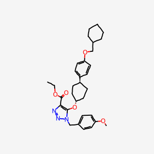 CCOC(=O)c1nnn(Cc2ccc(OC)cc2)c1O[C@H]1CC[C@H](c2ccc(OCC3CCCCC3)cc2)CC1